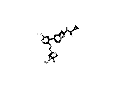 Cc1cc(-c2ccn3nc(NC(=O)C4CC4)cc3c2)c(OC[C@]23C[C@H](CO2)N(C)C3)cn1